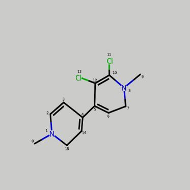 CN1C=CC(C2=CCN(C)C(Cl)=C2Cl)=CC1